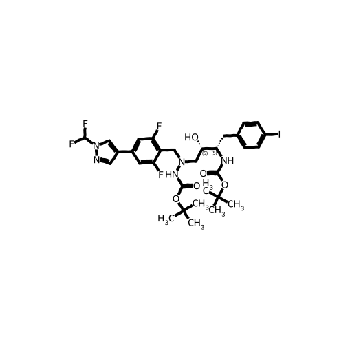 CC(C)(C)OC(=O)N[C@@H](Cc1ccc(I)cc1)[C@@H](O)CN(Cc1c(F)cc(-c2cnn(C(F)F)c2)cc1F)NC(=O)OC(C)(C)C